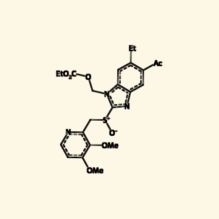 CCOC(=O)OCn1c([S+]([O-])Cc2nccc(OC)c2OC)nc2cc(C(C)=O)c(CC)cc21